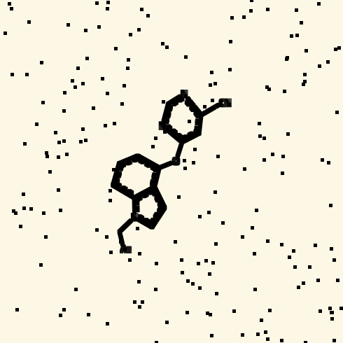 CC(=O)Cn1ccc2c(Oc3cc(C#N)ncn3)cccc21